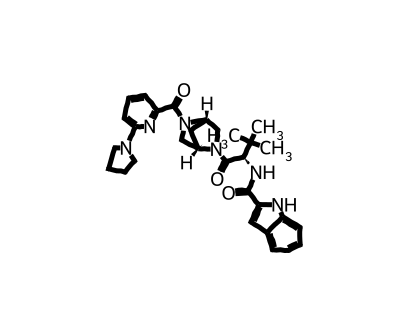 CC(C)(C)[C@H](NC(=O)c1cc2ccccc2[nH]1)C(=O)N1C[C@@H]2C[C@H]1CN2C(=O)c1cccc(N2CCCC2)n1